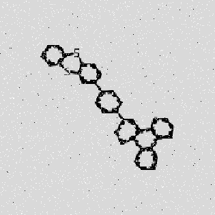 c1ccc2c(c1)Sc1ccc(-c3ccc(-c4ccc5c6ccccc6c6ccccc6c5c4)cc3)cc1S2